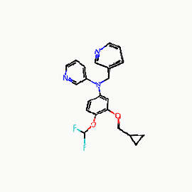 FC(F)Oc1ccc(N(Cc2cccnc2)c2cccnc2)cc1OCC1CC1